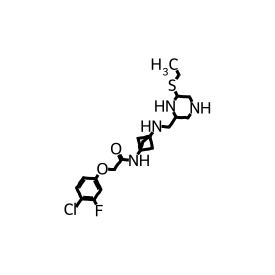 CCSC1CNCC(CNC23CC(NC(=O)COc4ccc(Cl)c(F)c4)(C2)C3)N1